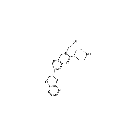 O=C(C1CCNCC1)N(CCO)Cc1ccc([C@H]2COc3cccnc3O2)cc1